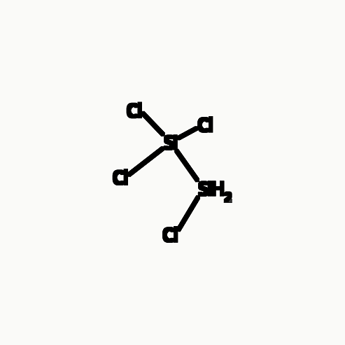 Cl[SiH2][Si](Cl)(Cl)Cl